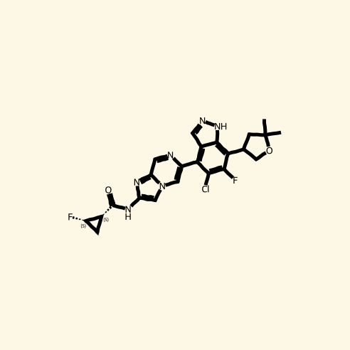 CC1(C)CC(c2c(F)c(Cl)c(-c3cn4cc(NC(=O)[C@@H]5C[C@@H]5F)nc4cn3)c3cn[nH]c23)CO1